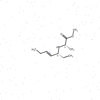 CC/C=C/[C@@H](CC)N[C@@H](C)C(=O)OC